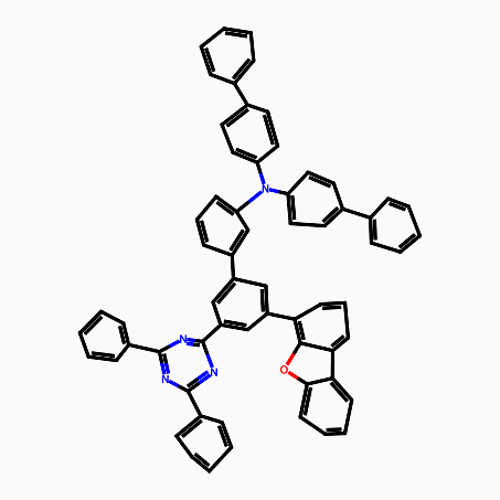 c1ccc(-c2ccc(N(c3ccc(-c4ccccc4)cc3)c3cccc(-c4cc(-c5nc(-c6ccccc6)nc(-c6ccccc6)n5)cc(-c5cccc6c5oc5ccccc56)c4)c3)cc2)cc1